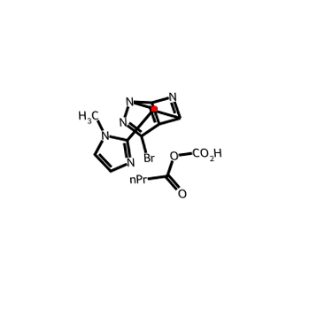 CCCC(=O)OC(=O)O.Cn1ccnc1-c1cc2nc3c-2c(Br)nn13